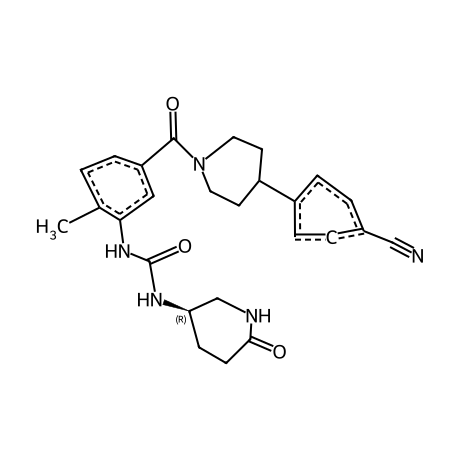 Cc1ccc(C(=O)N2CCC(c3ccc(C#N)cc3)CC2)cc1NC(=O)N[C@@H]1CCC(=O)NC1